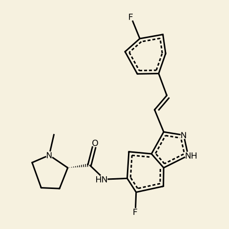 CN1CCC[C@H]1C(=O)Nc1cc2c(/C=C/c3ccc(F)cc3)n[nH]c2cc1F